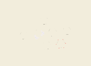 c1ccc(-c2cc(-c3ccccc3)nc(-c3cccc(-c4ccccc4)c3-c3cccc4c5ccccc5c5ccccc5c34)n2)cc1